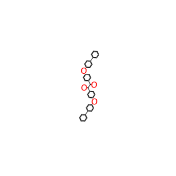 O=C(C(=O)c1ccc(Oc2ccc(-c3ccccc3)cc2)cc1)c1ccc(Oc2ccc(-c3ccccc3)cc2)cc1